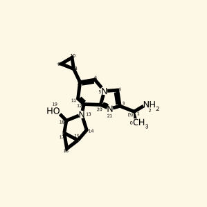 C[C@H](N)c1cn2cc(C3CC3)cc(N3CC4CC4C3O)c2n1